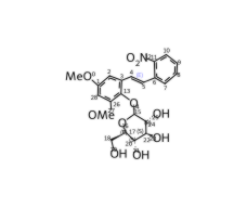 COc1cc(/C=C/c2ccccc2[N+](=O)[O-])c(OC2O[C@H](CO)[C@@H](O)[C@H](O)[C@H]2O)c(OC)c1